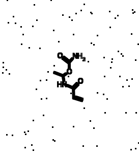 C=CC(=O)NC(C)OC(N)=O